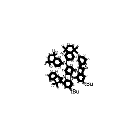 CC(C)(C)c1cc2c3c(c1)c1c(n3-c3cc(N(c4ccc5c(c4)C(C)(C)CCC5(C)C)c4ccc5c(c4)C(C)(C)CCC5(C)C)cc4c3B2c2cc(C(C)(C)C)cc3c5sc6ccccc6c5n-4c23)-c2ccccc2C1(C)C